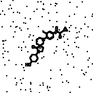 Cc1cc(NC(=O)C2CC2)ccc1N1CCC[C@]2(CCN(C3CCC(O)CC3)C2=O)C1